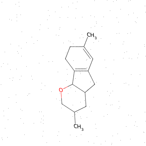 CC1=CC2=C(CC1)C1OCC(C)CC1C2